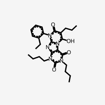 CCCCn1c(=O)c2c(nc3n(-c4ccccc4CC)c(=O)c(CCC)c(O)n23)n(CCCC)c1=O